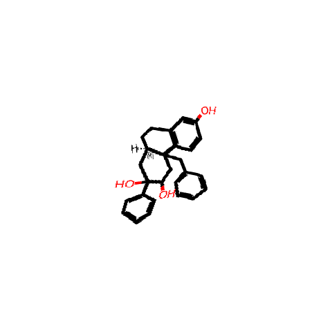 Oc1ccc2c(c1)CC[C@@H]1CC(O)(c3ccccc3)C(O)CC21Cc1ccccc1